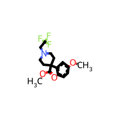 COC(=O)C1(c2cccc(OC)c2)CCN(CC(F)(F)F)CC1